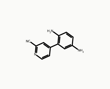 N#Cc1cc(-c2cc(N)ccc2N)ccn1